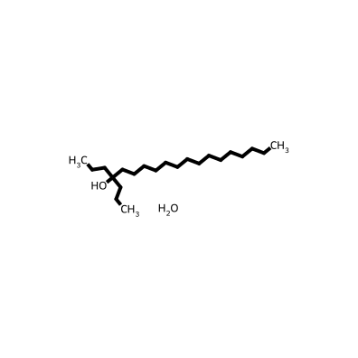 CCCCCCCCCCCCCCCC(O)(CCC)CCC.O